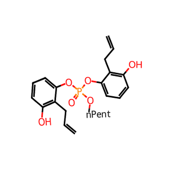 C=CCc1c(O)cccc1OP(=O)(OCCCCC)Oc1cccc(O)c1CC=C